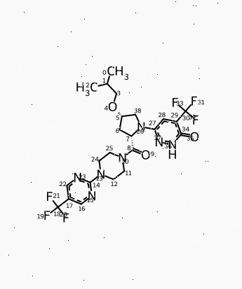 CC(C)CO[C@H]1C[C@@H](C(=O)N2CCN(c3ncc(C(F)(F)F)cn3)CC2)N(c2cc(C(F)(F)F)c(=O)[nH]n2)C1